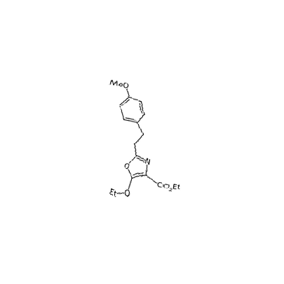 CCOC(=O)c1nc(CCc2ccc(OC)cc2)oc1OCC